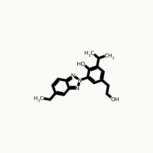 CCc1ccc2nn(-c3cc(CCO)cc(C(C)C)c3O)nc2c1